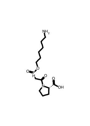 NCCCCCCO[PH](=O)CC(=O)N1CCC[C@H]1C(=O)O